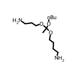 CCCCOC(C)(OCCCN)OCCCCN